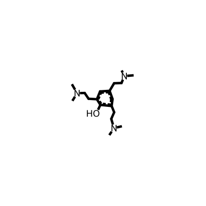 CN(C)CCc1cc(CCN(C)C)c(O)c(CCN(C)C)c1